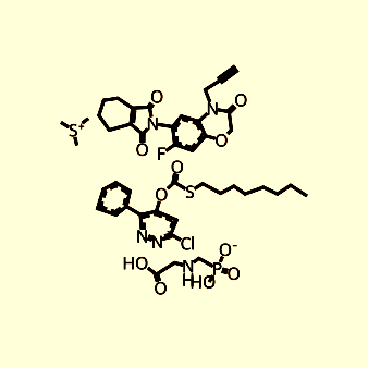 C#CCN1C(=O)COc2cc(F)c(N3C(=O)C4=C(CCCC4)C3=O)cc21.CCCCCCCCSC(=O)Oc1cc(Cl)nnc1-c1ccccc1.C[S+](C)C.O=C(O)CNCP(=O)([O-])O